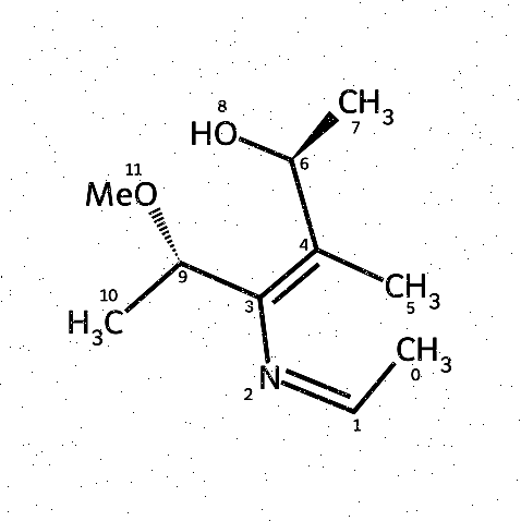 C/C=N\C(=C(C)[C@H](C)O)[C@H](C)OC